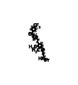 Cc1c(CCN2CCN(C(=O)c3ccc(C(F)(F)F)cc3)CC2)ccc(OCCCCNC(C)C)c1C